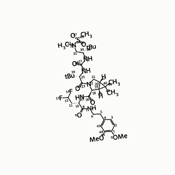 COc1ccc(CCNC(=O)[C@H](CC(F)F)NC(=O)[C@@H]2[C@@H]3[C@H](CN2C(=O)[C@@H](NC(=O)N[C@H](CN(C)S(C)(=O)=O)C(C)(C)C)C(C)(C)C)C3(C)C)cc1OC